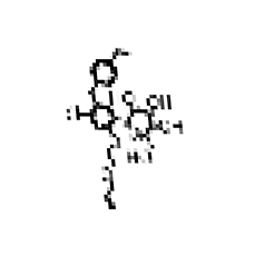 C=CCOCCOc1cc(Cl)c(Cc2ccc(CC)cc2)cc1[C@@H]1O[C@H](CO)[C@@H](O)[C@H](O)[C@H]1O